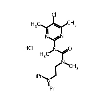 Cc1nc(N(C)C(=O)N(C)CCN(C(C)C)C(C)C)nc(C)c1Cl.Cl